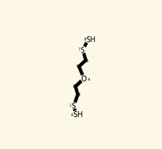 SSCCOCCSS